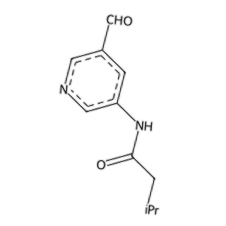 CC(C)CC(=O)Nc1cncc(C=O)c1